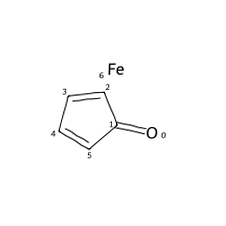 O=C1C=CC=C1.[Fe]